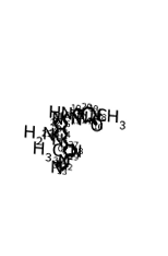 Cc1c(-c2cc3cc(Nc4cc5n(n4)CC(=O)N(C)CC5)ncc3c(N)n2)cncc1-n1ccnc1